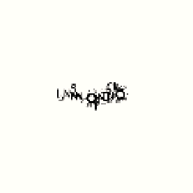 NC(=S)N/N=C/c1ccc(N2CCN(c3ccccc3Cl)CC2)c(F)c1